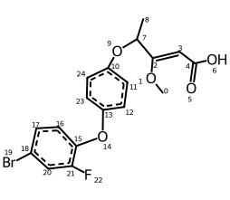 CO/C(=C\C(=O)O)C(C)Oc1ccc(Oc2ccc(Br)cc2F)cc1